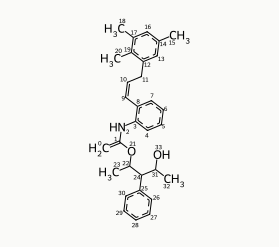 C=C(Nc1ccccc1/C=C\Cc1cc(C)cc(C)c1C)OC(C)C(c1ccccc1)C(C)O